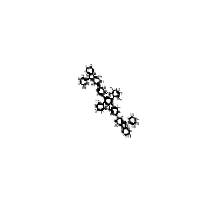 c1ccc(C2c3ccccc3-c3ccc(-c4ccc5c6c7c8ccccc8n8c9cc(-c%10ccc%11c%12ccccc%12n(-c%12ccccc%12)c%11c%10)ccc9c(c9c%10ccccc%10n(c5c4)c96)c78)cc32)cc1